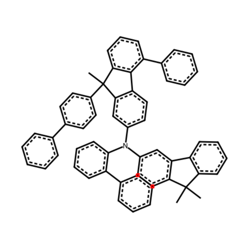 CC1(C)c2ccccc2-c2cc(N(c3ccc4c(c3)C(C)(c3ccc(-c5ccccc5)cc3)c3cccc(-c5ccccc5)c3-4)c3ccccc3-c3ccccc3)ccc21